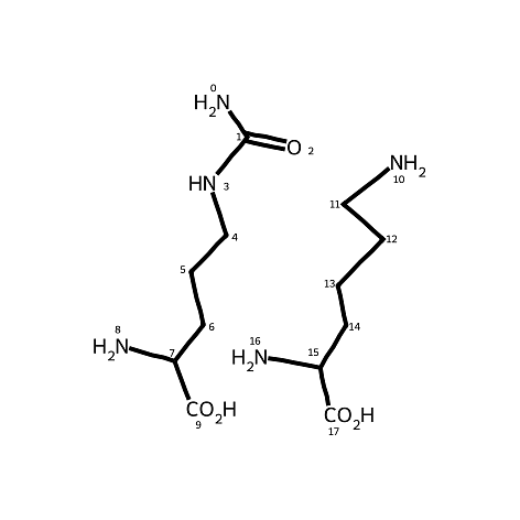 NC(=O)NCCCC(N)C(=O)O.NCCCCC(N)C(=O)O